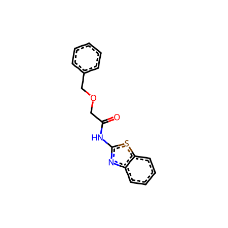 O=C(COCc1ccccc1)Nc1nc2ccccc2s1